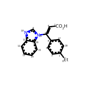 CCc1ccc(C(=CC(=O)O)n2cnc3ccccc32)cc1